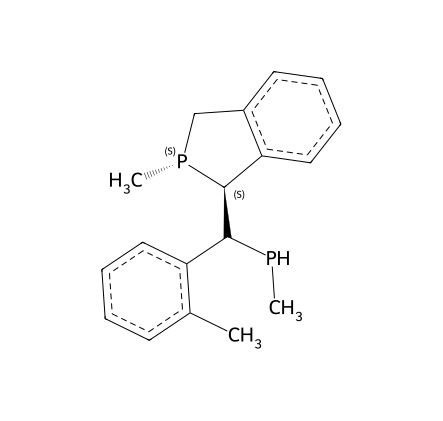 CPC(c1ccccc1C)[C@@H]1c2ccccc2C[P@@]1C